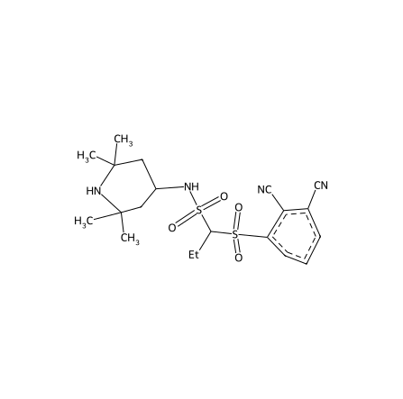 CCC(S(=O)(=O)NC1CC(C)(C)NC(C)(C)C1)S(=O)(=O)c1cccc(C#N)c1C#N